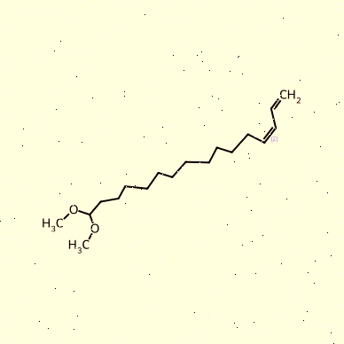 C=C/C=C\CCCCCCCCCCCC(OC)OC